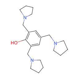 Oc1c(CN2CCCC2)cc(CN2CCCC2)cc1CN1CCCC1